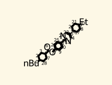 CCCCC1CCC(C(=O)Oc2ccc(-c3ncc([C@H]4CC[C@H](CC)CC4)cn3)cc2)CC1